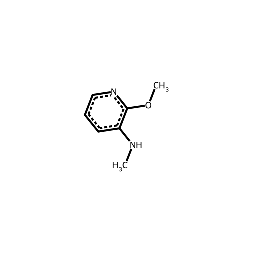 CNc1cccnc1OC